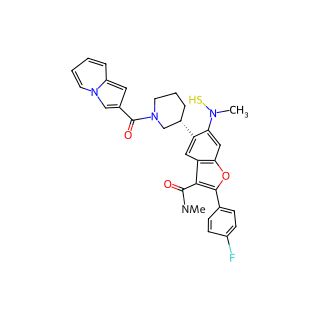 CNC(=O)c1c(-c2ccc(F)cc2)oc2cc(N(C)S)c([C@H]3CCCN(C(=O)c4cc5ccccn5c4)C3)cc12